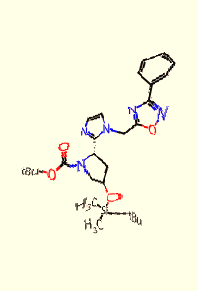 CC(C)(C)OC(=O)N1C[C@H](O[Si](C)(C)C(C)(C)C)C[C@H]1c1nccn1Cc1nc(-c2ccccc2)no1